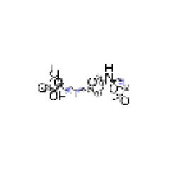 CC(=O)O[C@@H](C)/C=C\C(=O)N[C@@H]1C[C@H](C)[C@H](C/C=C(C)/C=C/[C@H]2O[C@@](I)(CI)C[C@@]3(CO3)[C@@H]2O)O[C@@H]1C